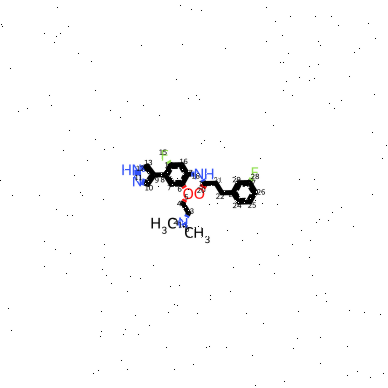 CN(C)CCOc1cc(-c2cn[nH]c2)c(F)cc1NC(=O)CCc1cccc(F)c1